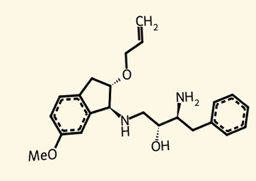 C=CCO[C@H]1Cc2ccc(OC)cc2[C@@H]1NC[C@@H](O)[C@@H](N)Cc1ccccc1